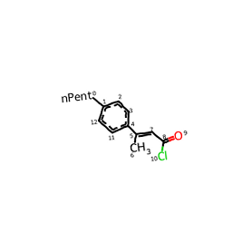 CCCCCc1ccc(C(C)=CC(=O)Cl)cc1